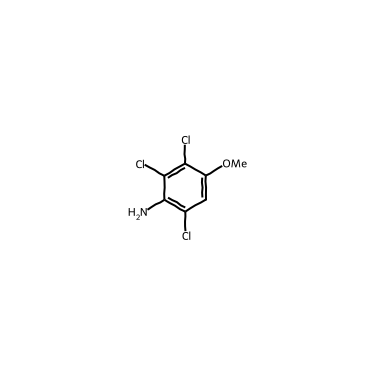 COc1cc(Cl)c(N)c(Cl)c1Cl